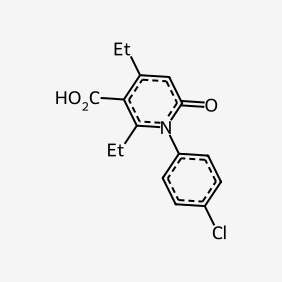 CCc1cc(=O)n(-c2ccc(Cl)cc2)c(CC)c1C(=O)O